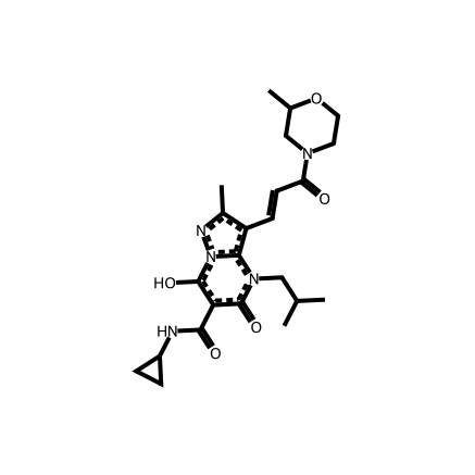 Cc1nn2c(O)c(C(=O)NC3CC3)c(=O)n(CC(C)C)c2c1C=CC(=O)N1CCOC(C)C1